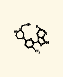 CC(C)C[C@H]1CN(c2ccc(C(F)(F)F)c(-c3n[nH]c4ncc(F)cc34)n2)CCN1